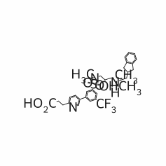 CN(CC(O)CNC(C)(C)CC1Cc2ccccc2C1)S(=O)(=O)c1cc(-c2ccc(CCC(=O)O)nc2)cc(C(F)(F)F)c1